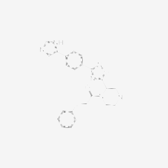 O=C(COc1ccccc1)N1CCNCC1c1nc(-c2ccc(-c3cnc[nH]3)cc2)no1